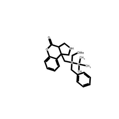 COC[N+](Cc1ccccc1)(CC12CNCC1C(=O)Oc1ccccc12)[Si](C)(C)C